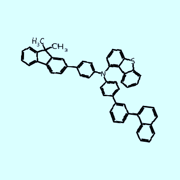 CC1(C)c2ccccc2-c2ccc(-c3ccc(N(c4ccc(-c5cccc(-c6cccc7ccccc67)c5)cc4)c4cccc5sc6ccccc6c45)cc3)cc21